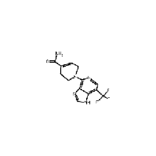 NC(=O)C1=CCN(c2ncc(C(F)(F)F)c3[nH]cnc23)CC1